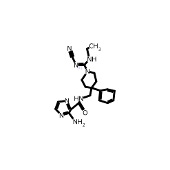 CCN/C(=N\C#N)N1CCC(CNC(=O)c2nccnc2N)(c2ccccc2)CC1